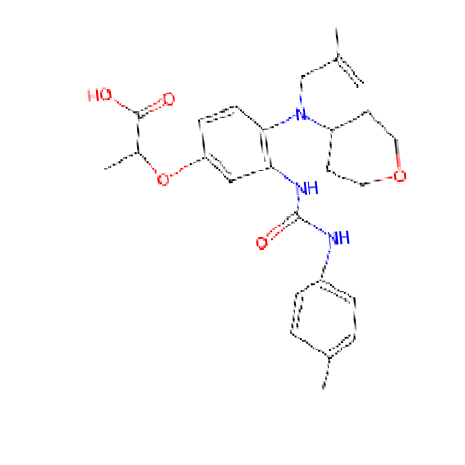 C=C(C)CN(c1ccc(OC(C)C(=O)O)cc1NC(=O)Nc1ccc(C)cc1)C1CCOCC1